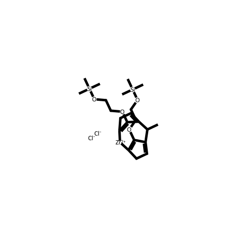 CC1C2=CC[C](=C2OCCO[Si](C)(C)C)[Zr+2][C]2=C(OCCO[Si](C)(C)C)C1=CC2.[Cl-].[Cl-]